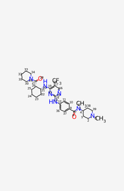 CN1CCC(N(C)C(=O)c2ccc(Nc3ncc(C(F)(F)F)c(N[C@@H]4CCCC[C@@H]4C(=O)N4CCCCC4)n3)cc2)CC1